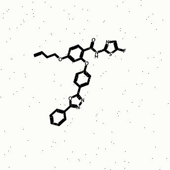 C=CCCOc1ccc(C(=O)Nc2ncc(F)s2)c(Oc2ccc(-c3nnc(-c4ccccc4)o3)cc2)c1